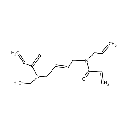 C=CCN(C/C=C/CN(CC)C(=O)C=C)C(=O)C=C